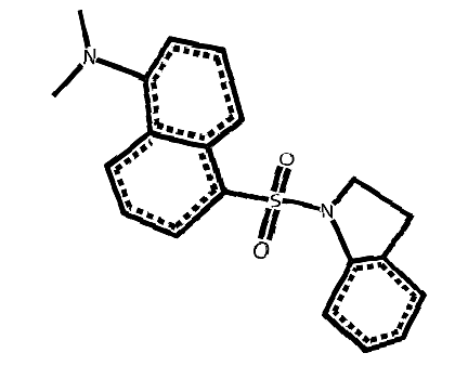 CN(C)c1cccc2c(S(=O)(=O)N3CCc4ccccc43)cccc12